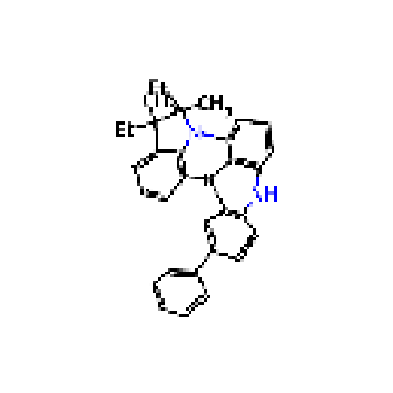 CCC1(C)c2cccc3c2N(c2cccc4c2B3c2cc(-c3ccccc3)ccc2N4)C1(C)CC